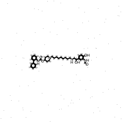 O=CNc1cc(C(O)CNCCCCCCCCCN2CCC(OC(=O)Nc3ccccc3-c3ccccc3)CC2)ccc1O